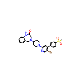 CS(=O)(=O)c1ccc(-c2cc(N3CCC(N4CC(=O)Nc5ccccc5C4)CC3)ncc2Br)cc1